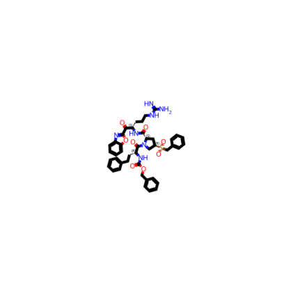 N=C(N)NCCC[C@H](NC(=O)[C@@H]1C[C@@H](S(=O)(=O)Cc2ccccc2)CN1C(=O)[C@@H](CCc1ccccc1)NC(=O)OCc1ccccc1)C(=O)c1nc2ccccc2o1